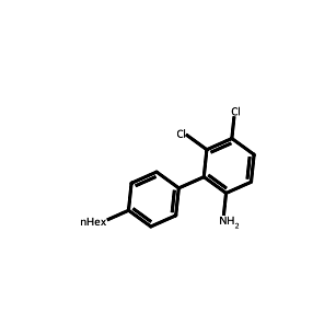 CCCCCCc1ccc(-c2c(N)ccc(Cl)c2Cl)cc1